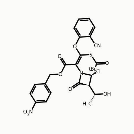 C[C@@H](O)[C@H]1C(=O)N(C(C(=O)OCc2ccc([N+](=O)[O-])cc2)=C(Oc2ccccc2C#N)SC(=O)C(C)(C)C)[C@H]1Cl